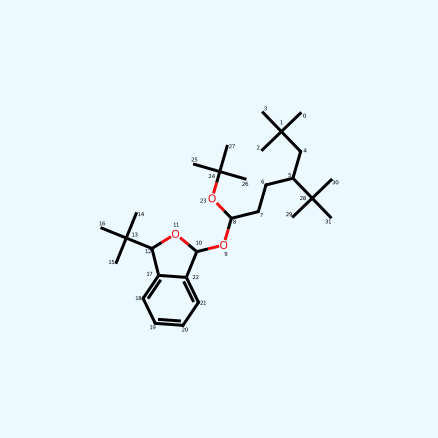 CC(C)(C)CC(CCC(OC1OC(C(C)(C)C)c2ccccc21)OC(C)(C)C)C(C)(C)C